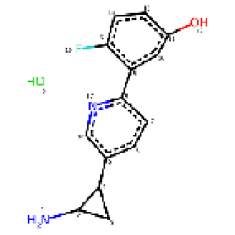 Cl.NC1CC1c1ccc(-c2cc(O)ccc2F)nc1